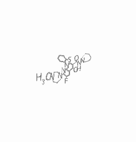 CN1CCCN(c2nc3c(cc2F)c(=O)c(C(=O)NN2CCCCCC2)c2sc4ccccc4n23)CC1